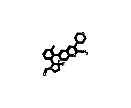 Cc1cccc(C2N(C=O)CCC2(F)F)c1-c1ccc2nc(N)c(N3CCOCC3)cc2c1